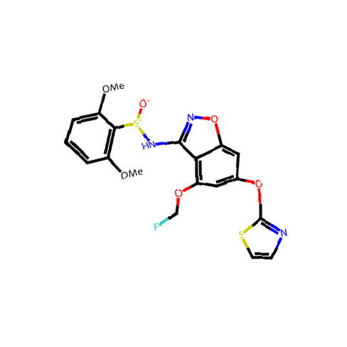 COc1cccc(OC)c1[S+]([O-])Nc1noc2cc(Oc3nccs3)cc(OCF)c12